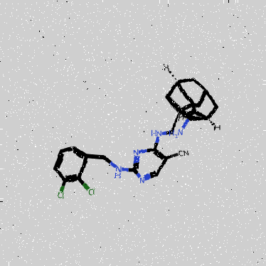 N#Cc1cnc(NCc2cccc(Cl)c2Cl)nc1NC[C@]12CC3C[C@H](C1)[C@@H](N)[C@@H](C3)C2